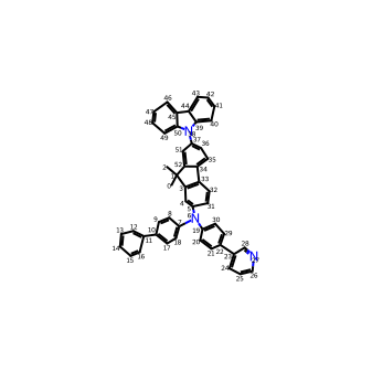 CC1(C)c2cc(N(c3ccc(-c4ccccc4)cc3)c3ccc(-c4cccnc4)cc3)ccc2-c2ccc(-n3c4ccccc4c4ccccc43)cc21